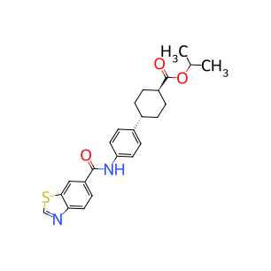 CC(C)OC(=O)[C@H]1CC[C@H](c2ccc(NC(=O)c3ccc4ncsc4c3)cc2)CC1